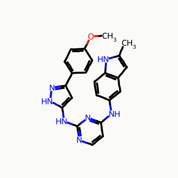 COc1ccc(-c2cc(Nc3nccc(Nc4ccc5[nH]c(C)cc5c4)n3)[nH]n2)cc1